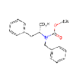 CC(C)(C)OC(=O)N(Cc1ccccc1)[C@H](Cc1ccccc1)C(=O)O